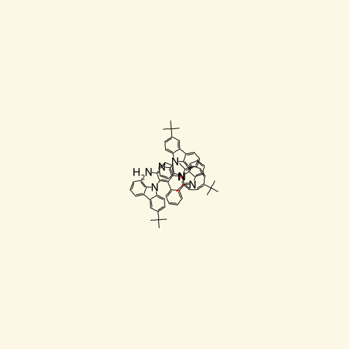 Cc1cccc(C(C)(C)C)ccc(C)n1-c1c(-n2c3ccccc3c3cc(C(C)(C)C)ccc32)nc(N)c(-n2c3ccccc3c3cc(C(C)(C)C)ccc32)c1-c1ccccc1-c1nc2ccccc2n1-c1ccccc1